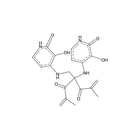 C=C(C)C(=O)C(CNc1cc[nH]c(=O)c1O)(Nc1cc[nH]c(=O)c1O)C(=O)C(=C)C